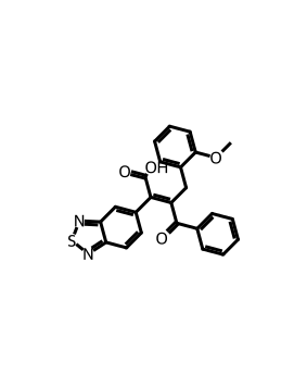 COc1ccccc1CC(C(=O)c1ccccc1)=C(C(=O)O)c1ccc2nsnc2c1